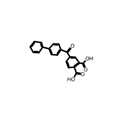 O=C(c1ccc(-c2ccccc2)cc1)c1ccc(C(=O)O)c(C(=O)O)c1